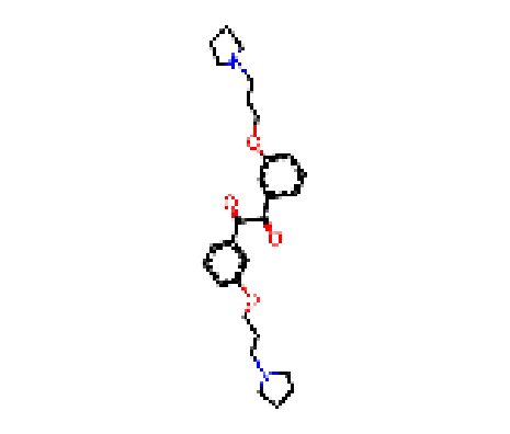 O=C(C(=O)c1cccc(OCCCN2CCCC2)c1)c1cccc(OCCCN2CCCC2)c1